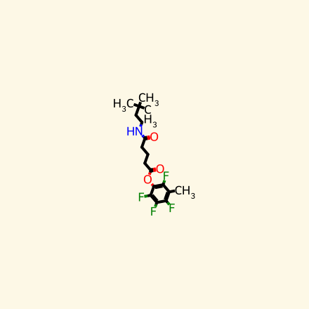 Cc1c(F)c(F)c(F)c(OC(=O)CCCC(=O)NCCC(C)(C)C)c1F